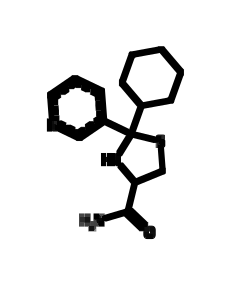 NC(=O)C1CSC(c2cccnc2)(C2CCCCC2)N1